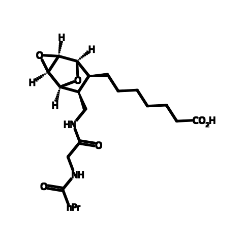 CCCC(=O)NCC(=O)NC[C@@H]1[C@H](CCCCCCC(=O)O)[C@H]2O[C@@H]1[C@H]1O[C@H]12